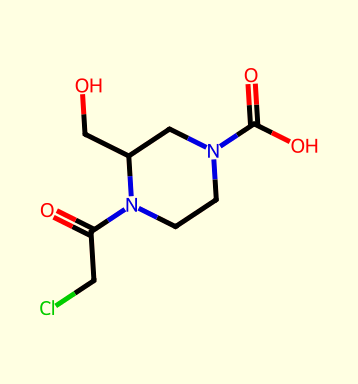 O=C(O)N1CCN(C(=O)CCl)C(CO)C1